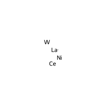 [Ce].[La].[Ni].[W]